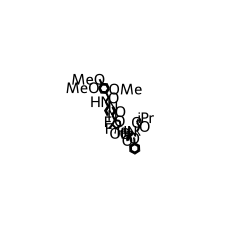 COc1cc(OC)c(C(=O)Nc2ccn(C3O[C@H](COP(=O)(N[C@H](C)C(=O)OC(C)C)Oc4ccccc4)[C@@H](O)C3(F)F)c(=O)n2)cc1OC